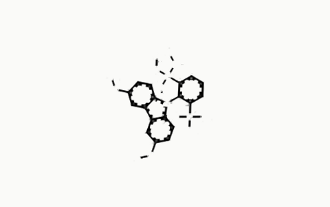 COc1ccc2c(c1)c1cc(OC)ccc1n2-c1c([Si](C)(C)C)cccc1[Si](OC)(OC)OC